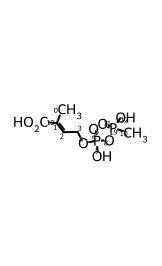 C/C(=C\COP(=O)(O)OP(C)(=O)O)C(=O)O